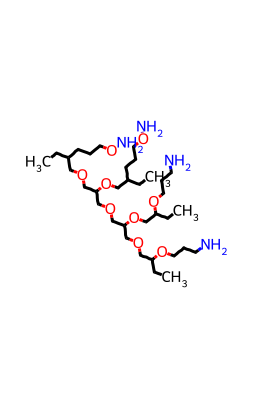 CCC(CCCON)COCC(COCC(COCC(CC)OCCCN)OCC(CC)OCCCN)OCC(CC)CCCON